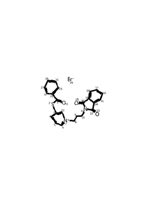 O=C(Sc1ccc[n+](CCCN2C(=O)c3ccccc3C2=O)c1)c1ccccc1.[Br-]